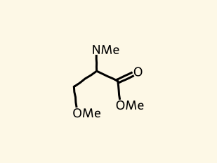 CNC(COC)C(=O)OC